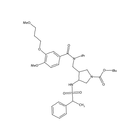 COCCCOc1cc(C(=O)N(CC2CN(C(=O)OC(C)(C)C)CC2NS(=O)(=O)C(C)c2ccccc2)C(C)C)ccc1OC